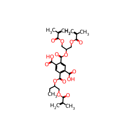 C=C(C)C(=O)OCC(CC)OC(=O)c1cc(C(=O)O)c(C(=O)OC(COC(=O)C(=C)C)COC(=O)C(=C)C)cc1C(=O)O